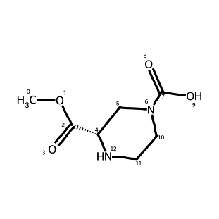 COC(=O)[C@@H]1CN(C(=O)O)CCN1